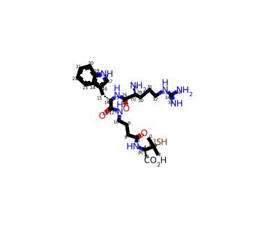 CC(C)(S)[C@H](NC(=O)CCCNC(=O)[C@H](Cc1c[nH]c2ccccc12)NC(=O)[C@@H](N)CCCNC(=N)N)C(=O)O